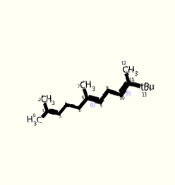 CC(C)=CCC/C(C)=C/C/C=C(\C)C(C)(C)C